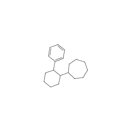 c1ccc([C]2CCCCC2C2CCCCCC2)cc1